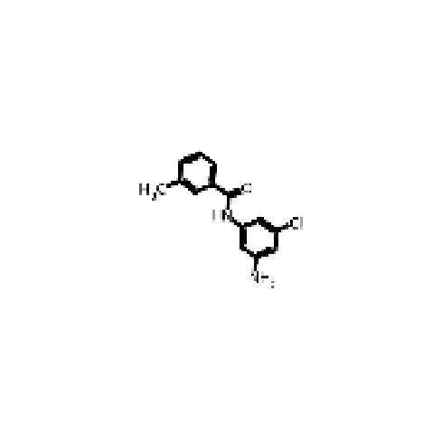 Cc1cccc(C(=O)Nc2cc(N)cc(Cl)c2)c1